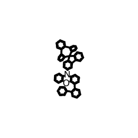 c1ccc(N(c2ccc3c(c2)-c2ccccc2C32c3ccccc3-c3ccccc3-c3ccccc32)c2cccc3c2Oc2ccccc2-c2ccccc2-3)cc1